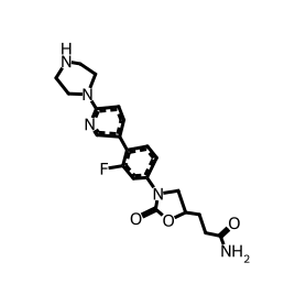 NC(=O)CCC1CN(c2ccc(-c3ccc(N4CCNCC4)nc3)c(F)c2)C(=O)O1